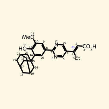 CC/C(=C\C(=O)O)c1cnc(-c2cc(OC)c(O)c(C34CC5CC(CC(C5)C3)C4)c2)nc1